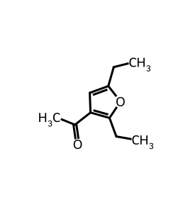 CCc1cc(C(C)=O)c(CC)o1